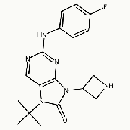 CC(C)(C)n1c(=O)n(C2CNC2)c2nc(Nc3ccc(F)cc3)ncc21